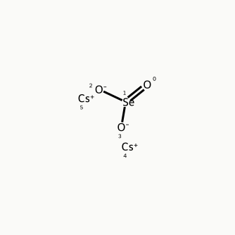 O=[Se]([O-])[O-].[Cs+].[Cs+]